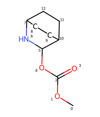 COC(=O)OC1NC2CCC1CC2